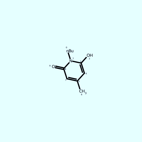 CCCCn1c(O)cc(C)cc1=O